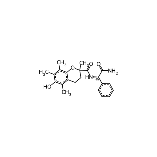 Cc1c(C)c2c(c(C)c1O)CCC(C)(C(=O)N[C@@H](C(N)=O)c1ccccc1)O2